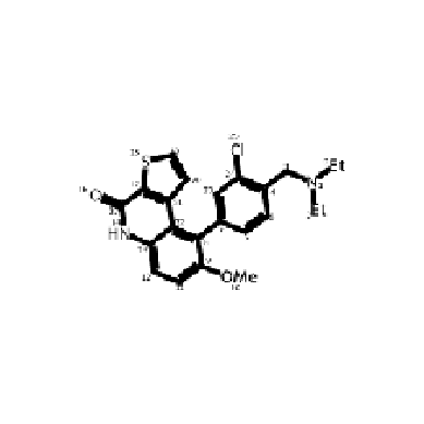 CCN(CC)Cc1ccc(-c2c(OC)ccc3[nH]c(=O)c4sccc4c23)cc1Cl